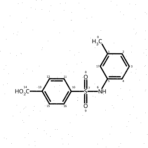 Cc1cccc(NS(=O)(=O)c2ccc(C(=O)O)cc2)c1